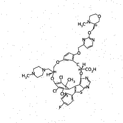 Cc1c(Cl)c2c(Cl)c(C)c1-c1c(-c3ccc(F)cc3)sc3ncnc(c13)O[C@@H](C(=O)O)Cc1cc(ccc1OCc1ccnc(OC[C@@H]3COCCN3C)n1)OC[C@@H](CN1CCN(C)CC1)O2